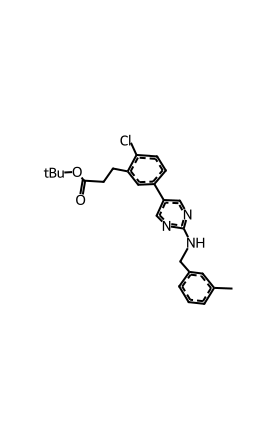 Cc1cccc(CNc2ncc(-c3ccc(Cl)c(CCC(=O)OC(C)(C)C)c3)cn2)c1